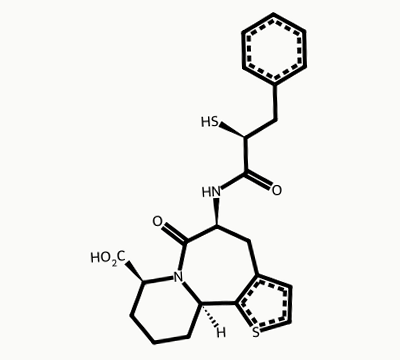 O=C(N[C@H]1Cc2ccsc2[C@H]2CCC[C@@H](C(=O)O)N2C1=O)[C@@H](S)Cc1ccccc1